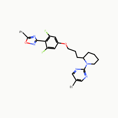 CCc1cnc(N2CCCCC2CCCOc2cc(F)c(-c3noc(C(C)C)n3)c(F)c2)nc1